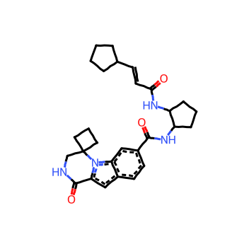 O=C(/C=C/C1CCCC1)NC1CCCC1NC(=O)c1ccc2cc3n(c2c1)C1(CCC1)CNC3=O